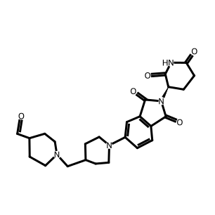 O=CC1CCN(CC2CCN(c3ccc4c(c3)C(=O)N([C@@H]3CCC(=O)NC3=O)C4=O)CC2)CC1